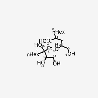 CCCCCCC(CC(O)CO)C(=O)O.CCCCCCC(O)(CC)C(O)CO